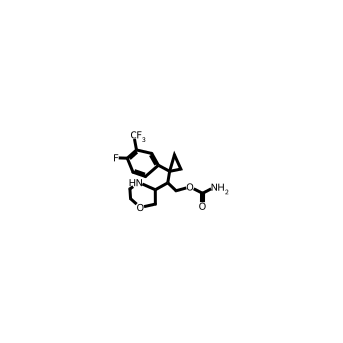 NC(=O)OCC(C1COCCN1)C1(c2ccc(F)c(C(F)(F)F)c2)CC1